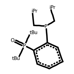 CC(C)CP(CC(C)C)c1ccccc1P(=O)(C(C)(C)C)C(C)(C)C